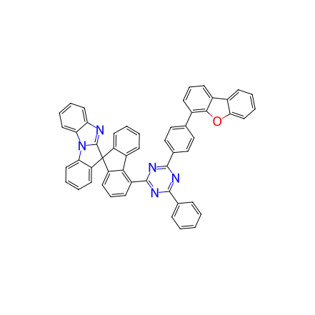 c1ccc(-c2nc(-c3ccc(-c4cccc5c4oc4ccccc45)cc3)nc(-c3cccc4c3-c3ccccc3C43c4ccccc4-n4c3nc3ccccc34)n2)cc1